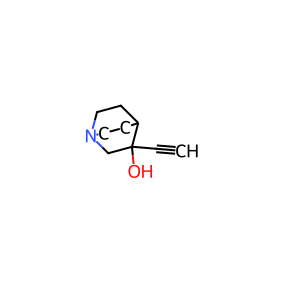 C#CC1(O)CN2CCC1CC2